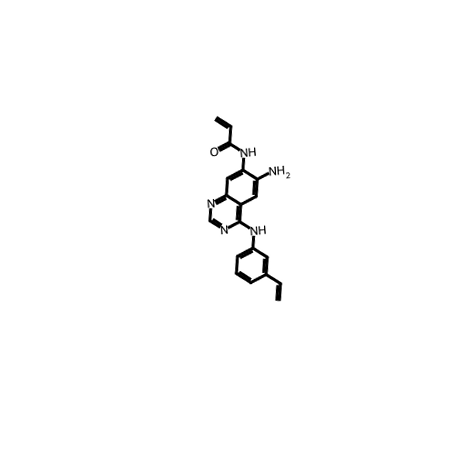 C=CC(=O)Nc1cc2ncnc(Nc3cccc(C=C)c3)c2cc1N